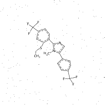 CCSc1cc(C(F)(F)F)ccc1-c1ncc(-c2ccc(C(F)(F)F)cc2)n1C